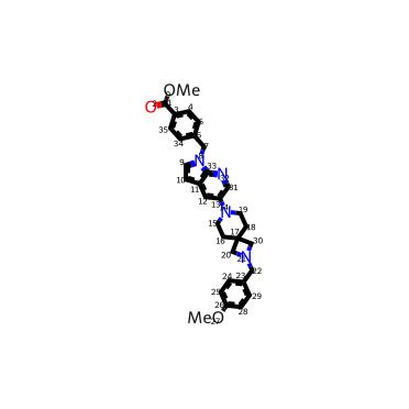 COC(=O)c1ccc(Cn2ccc3cc(N4CCC5(CC4)CN(Cc4ccc(OC)cc4)C5)cnc32)cc1